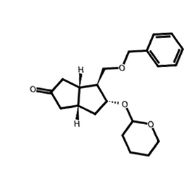 O=C1C[C@H]2C[C@@H](OC3CCCCO3)[C@H](COCc3ccccc3)[C@H]2C1